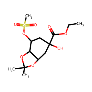 CCOC(=O)C1(O)CC2OC(C)(C)OC2C(OS(C)(=O)=O)C1